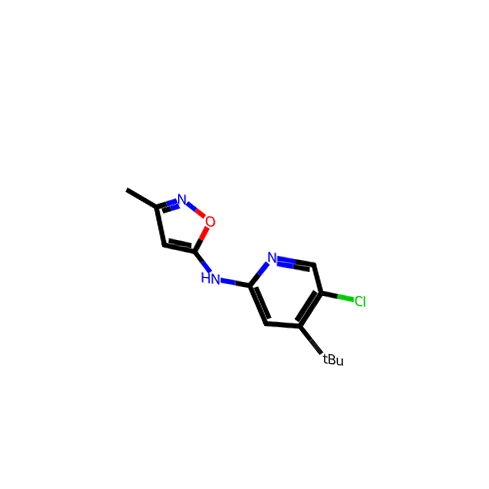 Cc1cc(Nc2cc(C(C)(C)C)c(Cl)cn2)on1